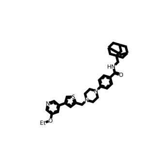 CCOc1cncc(-c2csc(CN3CCN(c4ccc(C(=O)NCC56CC7CC(CC(C7)C5)C6)cc4)CC3)c2)c1